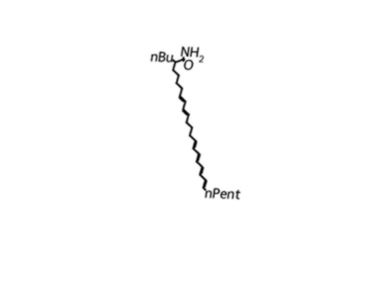 CCCCC/C=C/C=C/C=C/C=C/CCC/C=C/C=C/CCCCC(CCCC)C(N)=O